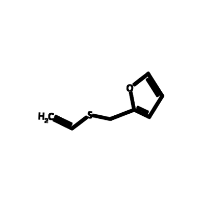 C=CSCc1ccco1